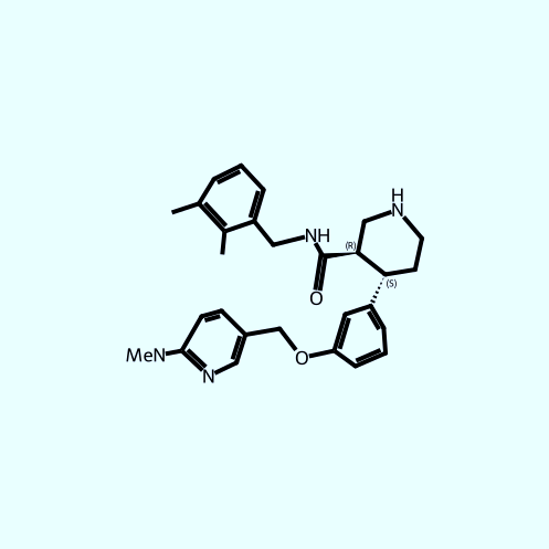 CNc1ccc(COc2cccc([C@H]3CCNC[C@@H]3C(=O)NCc3cccc(C)c3C)c2)cn1